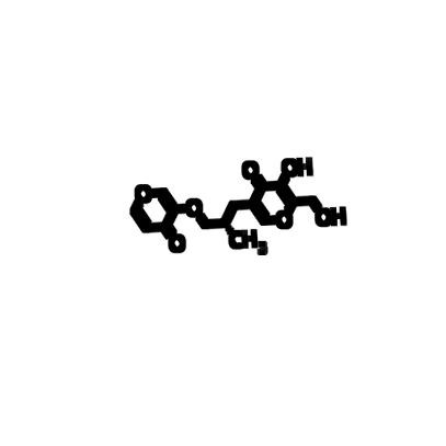 C[C@H](COc1coccc1=O)Cc1coc(CO)c(O)c1=O